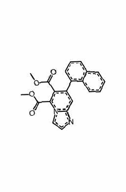 COC(=O)c1c(-c2cccc3ccccc23)cc2nccn2c1C(=O)OC